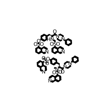 CN([C@@H](Cc1ccc(OS(=O)(=O)c2cccc3cnccc23)cc1)C(=O)N1CCN(c2ccccc2)CC1)S(=O)(=O)c1cccc2cnccc12.O=C([C@H](Cc1ccc(OS(=O)(=O)c2cccc3cnccc23)cc1)NCS(=O)(=O)c1cccc2cnccc12)N1CCN(c2ccccc2)CC1